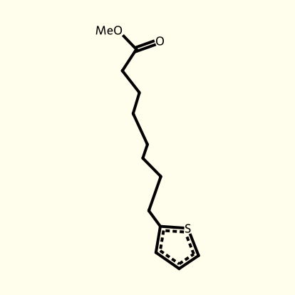 COC(=O)CCCCCCCc1cccs1